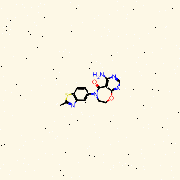 Cc1nc2cc(N3CCOc4ncnc(N)c4C3=O)ccc2s1